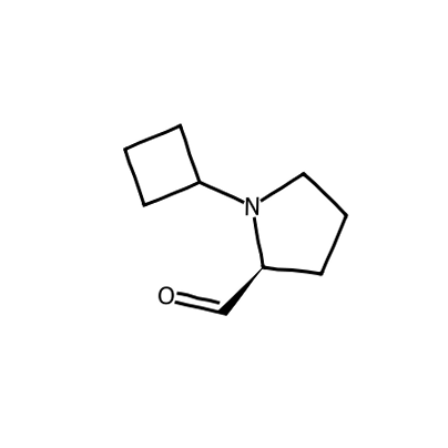 O=C[C@@H]1CCCN1C1CCC1